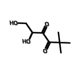 CC(C)(C)C(=O)C(=O)C(O)CO